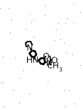 CN1C(=O)COc2cc(Nc3ccc(N4CCCCC4)cc3)ccc21